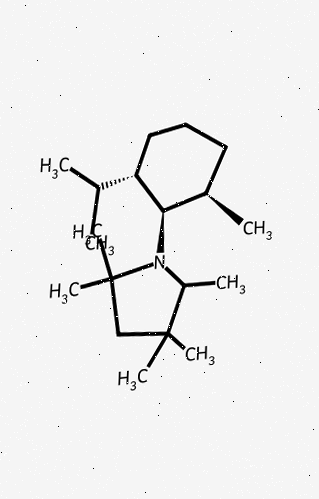 CC(C)[C@@H]1CCC[C@@H](C)[C@H]1N1C(C)C(C)(C)CC1(C)C